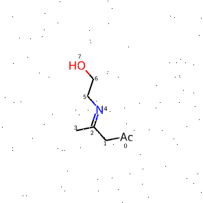 CC(=O)CC(C)=NCCO